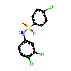 O=S(=O)(Nc1ccc(Cl)c(Cl)c1)c1ccc(Cl)cc1